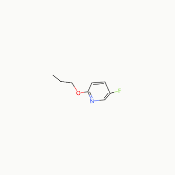 CCCOc1ccc(F)cn1